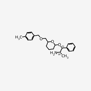 Cc1ccc(COCC2CCCC(O[C@@H](c3ccccc3)[C@@H](C)N)O2)cc1